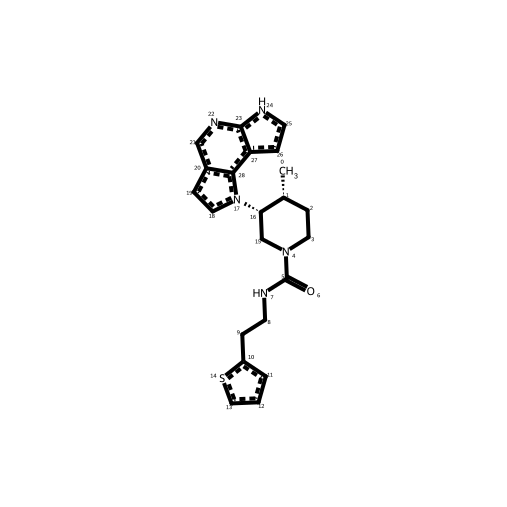 C[C@@H]1CCN(C(=O)NCCc2cccs2)C[C@@H]1n1ccc2cnc3[nH]ccc3c21